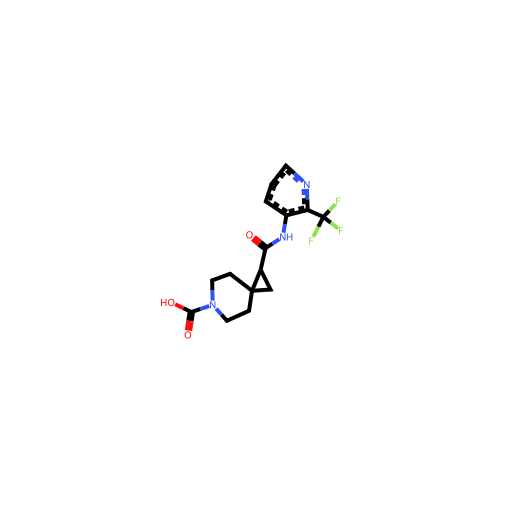 O=C(Nc1cccnc1C(F)(F)F)C1CC12CCN(C(=O)O)CC2